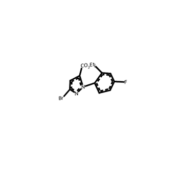 CCOC(=O)c1cc(Br)nn1-c1ccc(F)cc1I